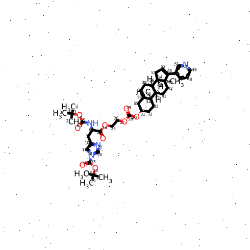 CC(C)(C)OC(=O)NC(Cc1cn(C(=O)OC(C)(C)C)cn1)C(=O)OCCOC(=O)O[C@H]1CC[C@@]2(C)C(=CC[C@@H]3[C@@H]2CC[C@]2(C)C(c4cccnc4)=CC[C@@H]32)C1